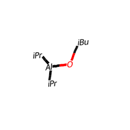 CCC(C)[O][Al]([CH](C)C)[CH](C)C